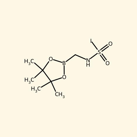 CC1(C)OB(CNS(=O)(=O)I)OC1(C)C